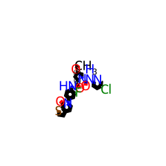 CO[C@@H]1C[C@H](C(=O)Nc2ccc(-n3ccc4ccsc4c3=O)cc2F)N(C(=O)Nc2ccc(Cl)cn2)C1